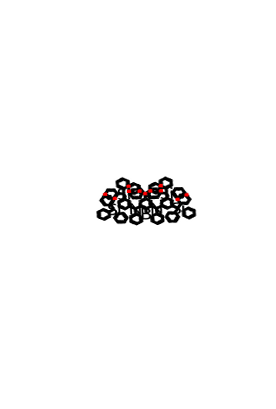 c1ccc(N(c2ccccc2)c2cc3c4c(c2)N(c2cc([Si](c5ccccc5)(c5ccccc5)c5ccccc5)cc([Si](c5ccccc5)(c5ccccc5)c5ccccc5)c2)c2ccccc2B4c2ccccc2N3c2cc([Si](c3ccccc3)(c3ccccc3)c3ccccc3)cc([Si](c3ccccc3)(c3ccccc3)c3ccccc3)c2)cc1